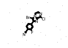 N#Cc1ccc(-c2nc3c(Cl)nccn3c2Br)cc1F